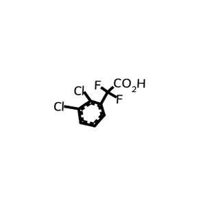 O=C(O)C(F)(F)c1cccc(Cl)c1Cl